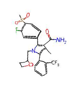 Cc1c(C(N)=O)c(-c2ccc(S(C)(=O)=O)c(F)c2)n(CC2CCO2)c1-c1ccccc1C(F)(F)F